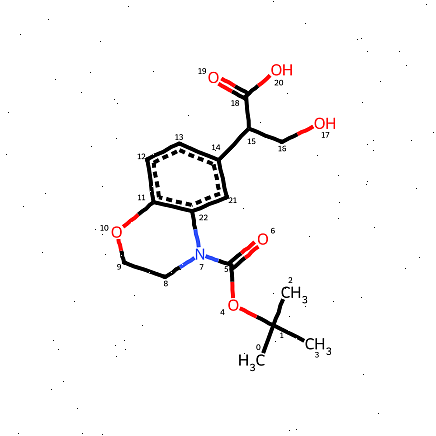 CC(C)(C)OC(=O)N1CCOc2ccc(C(CO)C(=O)O)cc21